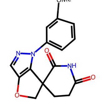 COc1cccc(-n2ncc3c2C2(CCC(=O)NC2=O)CO3)c1